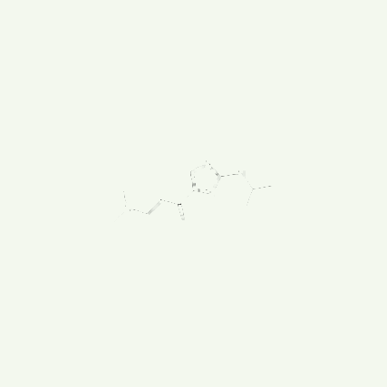 CC(C)Nc1ncc(C(=O)/C=C/N(C)C)s1